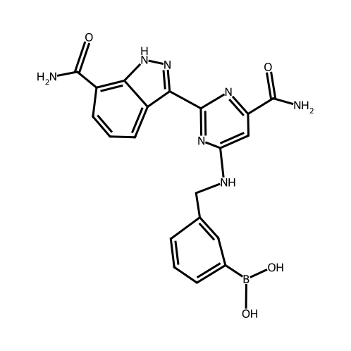 NC(=O)c1cc(NCc2cccc(B(O)O)c2)nc(-c2n[nH]c3c(C(N)=O)cccc23)n1